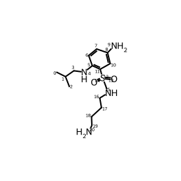 CC(C)CNc1ccc(N)cc1S(=O)(=O)NCCCCN